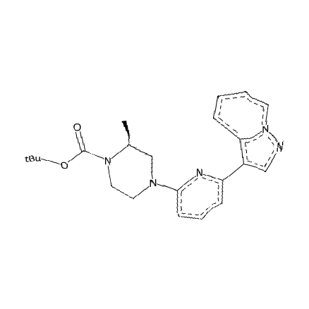 C[C@H]1CN(c2cccc(-c3cnn4ccccc34)n2)CCN1C(=O)OC(C)(C)C